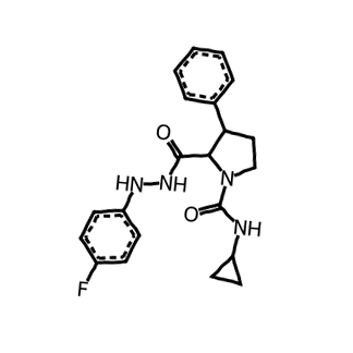 O=C(NNc1ccc(F)cc1)C1C(c2ccccc2)CCN1C(=O)NC1CC1